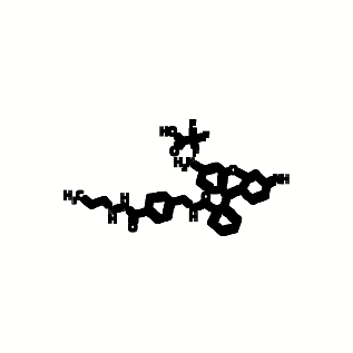 CCCNNC(=O)c1ccc(CNC(=O)c2ccccc2-c2c3ccc(=N)cc-3oc3cc(N)ccc23)cc1.O=C(O)C(F)(F)F